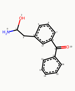 NC(O)Cc1cccc(C(=O)c2ccccc2)c1